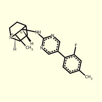 Cc1ccc(-c2cnc(N[C@H]3C4CCN(CC4)[C@@H]3C)nc2)c(F)c1